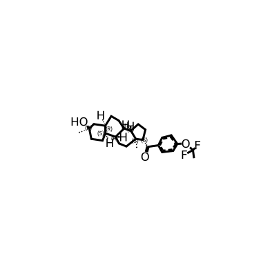 CC(F)(F)Oc1ccc(C(=O)[C@H]2CC[C@H]3[C@@H]4CC[C@@H]5C[C@](C)(O)CC[C@@H]5[C@H]4CC[C@]23C)cc1